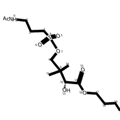 CC(=O)NCCCS(=O)(=O)OCC(C)(C)[C@@H](O)C(=O)OCCCOC(C)=O